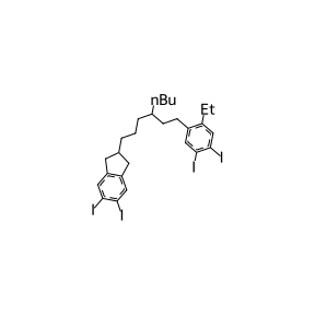 CCCCC(CCCC1Cc2cc(I)c(I)cc2C1)CCc1cc(I)c(I)cc1CC